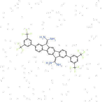 NC(N)=C1c2cc(-c3cc(C(F)(F)F)cc(C(F)(F)F)c3)ccc2-c2cc3c(cc21)-c1ccc(-c2cc(C(F)(F)F)cc(C(F)(F)F)c2)cc1C3=C(N)N